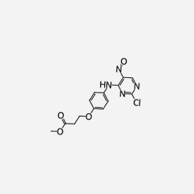 COC(=O)CCOc1ccc(Nc2nc(Cl)ncc2N=O)cc1